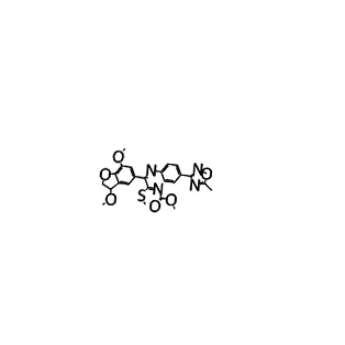 COC(=O)N=C(SC)C(=Nc1ccc(-c2noc(C)n2)cc1)c1cc(OC)c2c(c1)C(OC)CO2